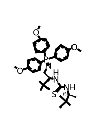 COc1ccc(P(=NC[C@@H](NC(=S)N[C@@H](C)C(C)(C)C)C(C)(C)C)(c2ccc(OC)cc2)c2ccc(OC)cc2)cc1